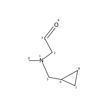 CN(C[C]=O)CC1CC1